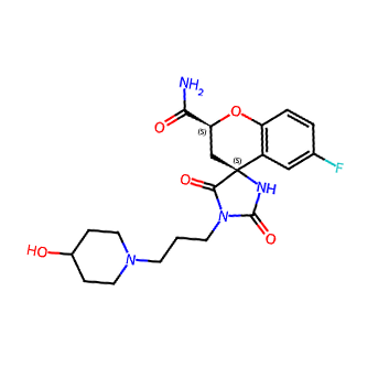 NC(=O)[C@@H]1C[C@]2(NC(=O)N(CCCN3CCC(O)CC3)C2=O)c2cc(F)ccc2O1